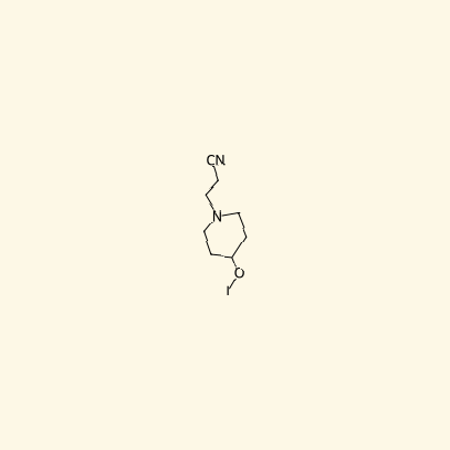 N#CCCN1CCC(OI)CC1